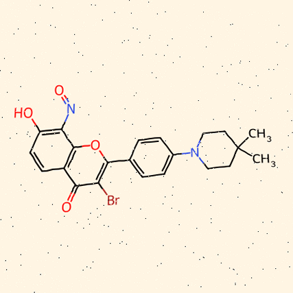 CC1(C)CCN(c2ccc(-c3oc4c(N=O)c(O)ccc4c(=O)c3Br)cc2)CC1